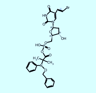 CC(C)(C(=O)OP(=O)(O)OC[C@H]1O[C@@H](n2cc(/C=C/Br)c(=O)[nH]c2=O)C[C@@H]1O)N(OCc1ccccc1)c1ccccc1